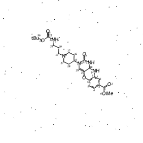 COC(=O)c1ccc2c(c1)NC1NC(=O)N(C3CCN(CCCNC(=O)OC(C)(C)C)CC3)C=C1O2